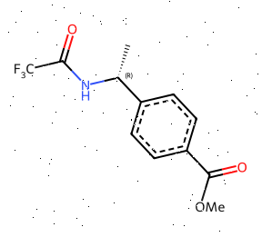 COC(=O)c1ccc([C@@H](C)NC(=O)C(F)(F)F)cc1